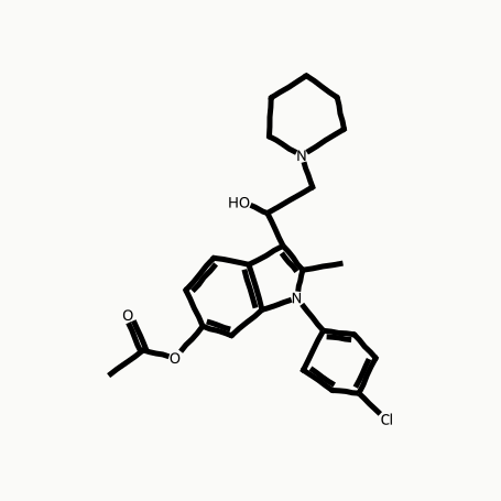 CC(=O)Oc1ccc2c(C(O)CN3CCCCC3)c(C)n(-c3ccc(Cl)cc3)c2c1